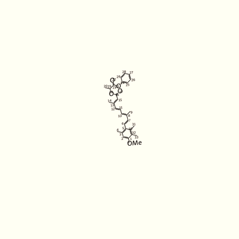 COc1cc(C)c(C=CC(C)=CC=CC(C)=CC(=O)OC(C)C(=O)Oc2ccccc2)c(C)c1C